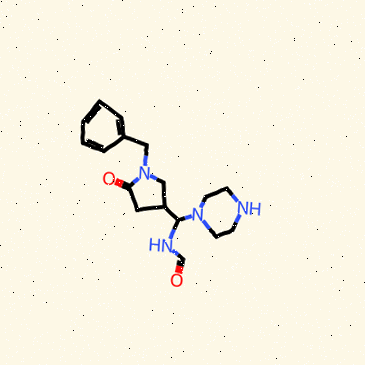 O=CNC(C1CC(=O)N(Cc2ccccc2)C1)N1CCNCC1